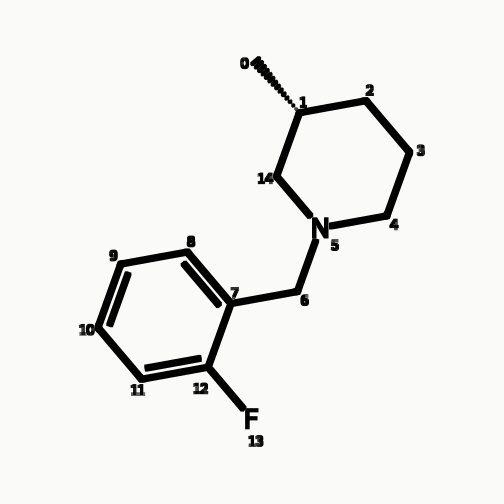 C[C@@H]1CCCN(Cc2ccccc2F)C1